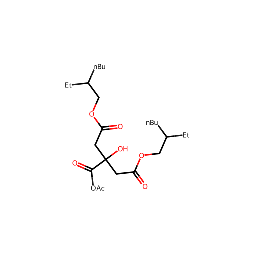 CCCCC(CC)COC(=O)CC(O)(CC(=O)OCC(CC)CCCC)C(=O)OC(C)=O